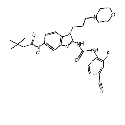 CC(C)(C)CC(=O)Nc1ccc2c(c1)nc(NC(=O)Nc1ccc(C#N)cc1F)n2CCCN1CCOCC1